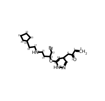 C=CC(=O)CC1C=NNC(OC(CBr)CCNCCC2CCCC2)=C1